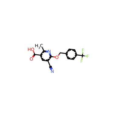 Cc1nc(OCc2ccc(C(F)(F)F)cc2)c(C#N)cc1C(=O)O